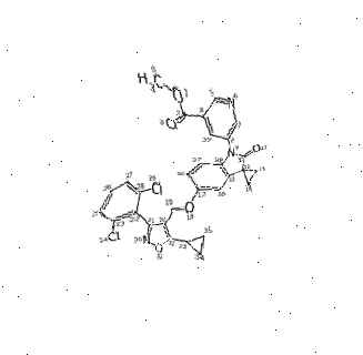 COC(=O)c1cncc(N2C(=O)C3(CC3)c3cc(OCc4c(-c5c(Cl)cccc5Cl)noc4C4CC4)ccc32)c1